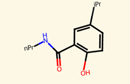 CCCNC(=O)c1cc(C(C)C)ccc1O